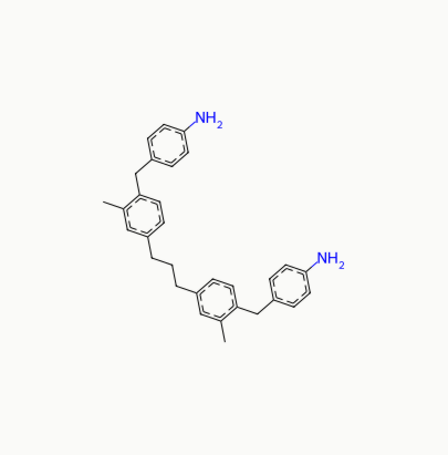 Cc1cc(CCCc2ccc(Cc3ccc(N)cc3)c(C)c2)ccc1Cc1ccc(N)cc1